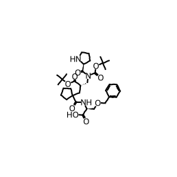 CC(C)(C)OC(=O)[C@H](CN(C(=O)OC(C)(C)C)C(=O)[C@@H]1CCCN1)CC1(C(=O)N[C@@H](COCc2ccccc2)C(=O)O)CCCC1